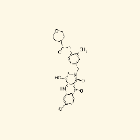 Cc1cc(Cn2nc(O)c3[nH]c4cc(Cl)ccc4c(=O)c3c2=O)ccc1OC(=O)N1CCOCC1